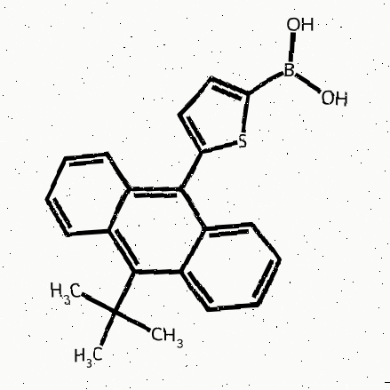 CC(C)(C)c1c2ccccc2c(-c2ccc(B(O)O)s2)c2ccccc12